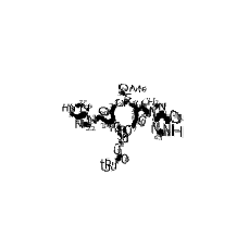 COCSP1C[C@@H]2C(COP(=O)(SCOC(=O)C(C)(C)C)O[C@H]3CC(n4cnc5c4N=CNC5)OC3CO1)OC(n1cnc3c(=O)[nH]cnc31)C2C